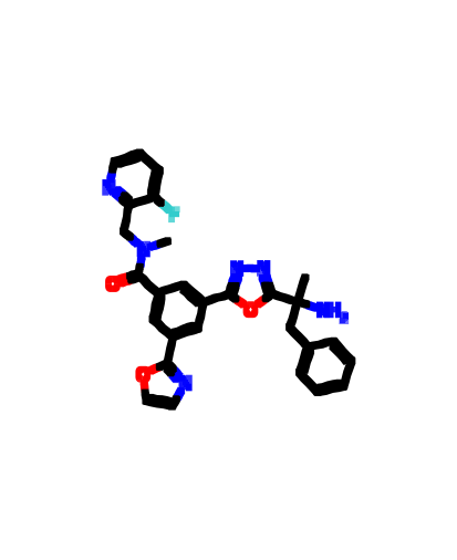 CN(Cc1ncccc1F)C(=O)c1cc(-c2ncco2)cc(-c2nnc(C(C)(N)Cc3ccccc3)o2)c1